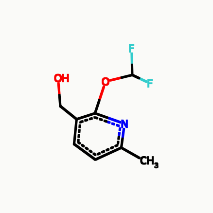 Cc1ccc(CO)c(OC(F)F)n1